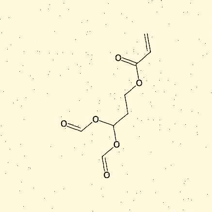 C=CC(=O)OCCC(OC=O)OC=O